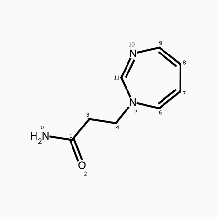 NC(=O)CCN1C=CC=CN=C1